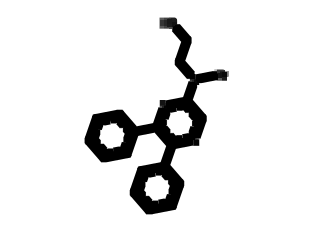 CC(C)N(CCO)c1cnc(-c2ccccc2)c(-c2ccccc2)n1